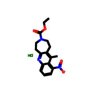 CCOC(=O)N1CCc2nc3cccc([N+](=O)[O-])c3c(C)c2CC1.Cl